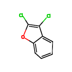 Clc1oc2ccccc2c1Cl